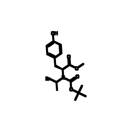 COC(=O)[C@H](Cc1ccc(O)cc1)N(C(=O)OC(C)(C)C)C(C)Br